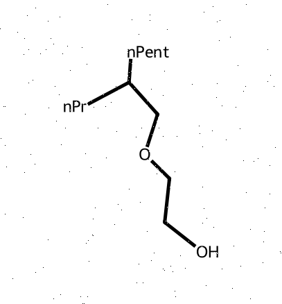 CCCCCC(CCC)COCCO